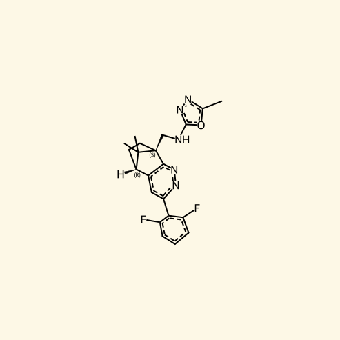 Cc1nnc(NC[C@@]23CC[C@@H](c4cc(-c5c(F)cccc5F)nnc42)C3(C)C)o1